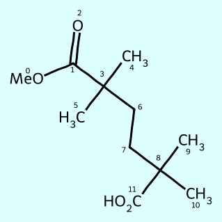 COC(=O)C(C)(C)CCC(C)(C)C(=O)O